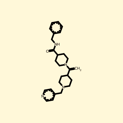 C=C(C1CCN(Cc2ccncc2)CC1)N1CCC(C(=O)NCc2ccccc2)CC1